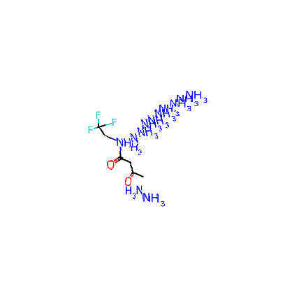 CC(=O)CC(=O)NCC(F)(F)F.N.N.N.N.N.N.N.N.N.N.N